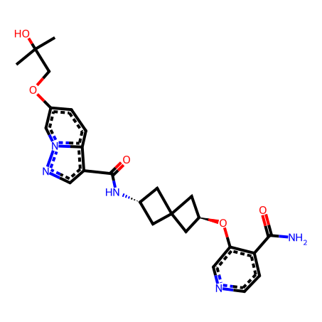 CC(C)(O)COc1ccc2c(C(=O)N[C@H]3CC4(C3)C[C@H](Oc3cnccc3C(N)=O)C4)cnn2c1